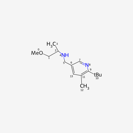 COCC(C)NCc1cnc(C(C)(C)C)c(C)c1